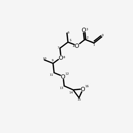 C=CC(=O)OC(C)COC(C)COCC1CO1